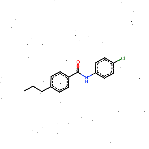 CCCc1ccc(C(=O)Nc2ccc(Cl)cc2)cc1